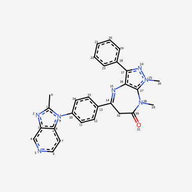 Cc1nc2cnccc2n1-c1ccc(C2=Nc3c(-c4ccccc4)nn(C)c3N(C)C(=O)C2)cc1